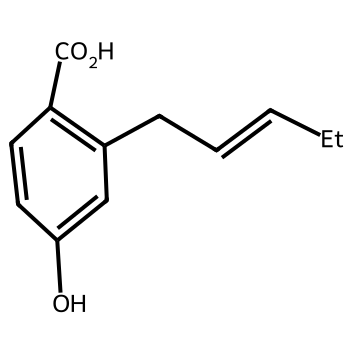 CCC=CCc1cc(O)ccc1C(=O)O